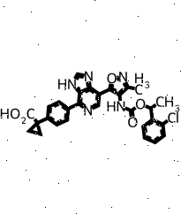 Cc1noc(-c2cnc(-c3ccc(C4(C(=O)O)CC4)cc3)c3[nH]cnc23)c1NC(=O)OC(C)c1ccccc1Cl